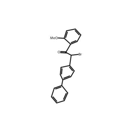 COc1ccccc1C(=O)C(Br)c1ccc(-c2ccccc2)cc1